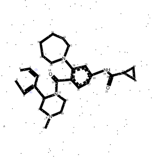 C/C=C\C(=C/C)C1CN(C)CCN1C(=O)c1ccc(NC(=O)C2CC2)cc1N1CCCCCC1